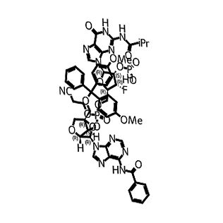 COc1ccc(C(OC[C@@]23CO[C@@H]([C@H](n4cnc5c(NC(=O)c6ccccc6)ncnc54)O2)[C@@H]3OP(=O)(OCCC#N)OC[C@H]2O[C@@H](n3cnc4c(=O)[nH]c(NC(=O)C(C)C)nc43)[C@H](O[PH](=O)O)[C@@H]2F)(c2ccccc2)c2ccc(OC)cc2)cc1